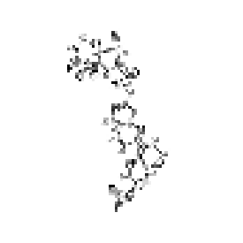 O=C(NCc1cc2nc(N3CCOc4cc(OC(F)F)cnc43)ccc2cn1)c1cc(F)c2c(c1)S(=O)(=O)[C@@H](F)CCO2